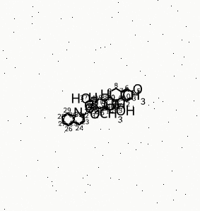 C[C@]12C=CC(=O)C=C1CC[C@@H]1[C@@H]2[C@@H](O)C[C@@]2(C)[C@H]1C[C@H]1OC(c3ccc4ccccc4n3)O[C@]12C(=O)CO